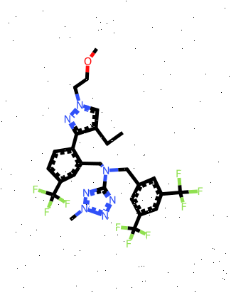 CCc1cn(CCOC)nc1-c1ccc(C(F)(F)F)cc1CN(Cc1cc(C(F)(F)F)cc(C(F)(F)F)c1)c1nnn(C)n1